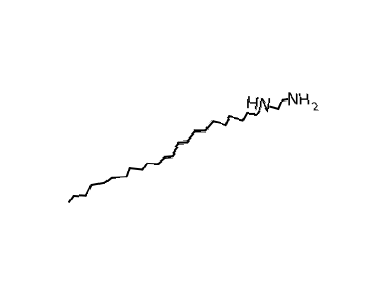 CCCCCCCCCCCCCCCCCCCCCCCNCCN